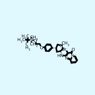 CN1C[C@H](Nc2nc3ccccn3c(=O)c2Br)C[C@H](c2ccc(OCCO[Si](C)(C)C(C)(C)C)cc2)C1